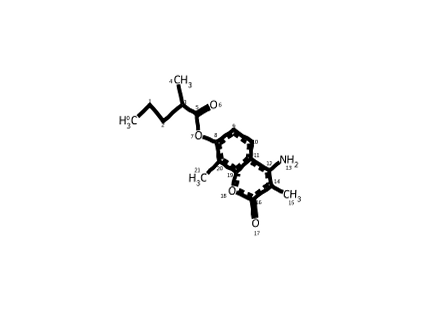 CCCC(C)C(=O)Oc1ccc2c(N)c(C)c(=O)oc2c1C